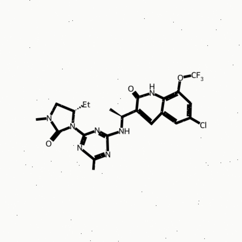 CC[C@H]1CN(C)C(=O)N1c1nc(C)nc(N[C@@H](C)c2cc3cc(Cl)cc(OC(F)(F)F)c3[nH]c2=O)n1